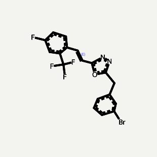 Fc1ccc(/C=C/c2nnc(Cc3cccc(Br)c3)o2)c(C(F)(F)F)c1